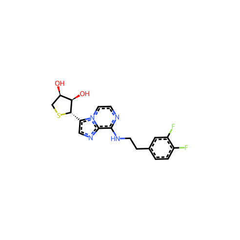 O[C@@H]1[C@H](O)CS[C@H]1c1cnc2c(NCCc3ccc(F)c(F)c3)nccn12